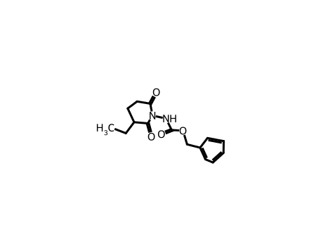 CCC1CCC(=O)N(NC(=O)OCc2ccccc2)C1=O